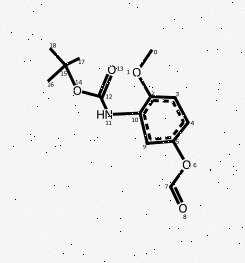 COc1ccc(OC=O)cc1NC(=O)OC(C)(C)C